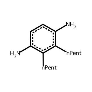 CCCCCc1c(N)ccc(N)c1CCCCC